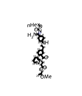 CCCCCCOC(=O)/N=C(\N)C1=CC=C(NCCc2cccc(C(=O)N(CCC(=O)OC[C@@H](C)OC)c3ccccn3)c2)CC1